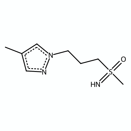 Cc1cnn(CCCS(C)(=N)=O)c1